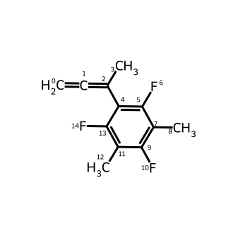 C=C=C(C)c1c(F)c(C)c(F)c(C)c1F